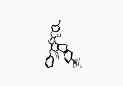 CNc1ccc2c(c1)CCc1c-2[nH]c(Cc2ccccc2)c2nc(Cc3ccc(F)cc3)c(=O)n1-2